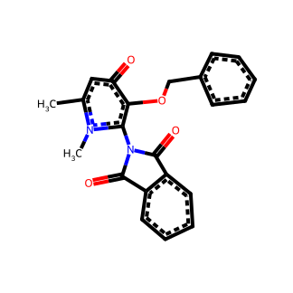 Cc1cc(=O)c(OCc2ccccc2)c(N2C(=O)c3ccccc3C2=O)n1C